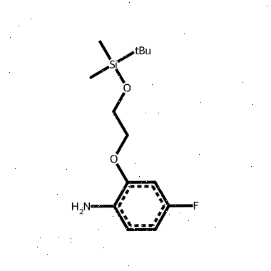 CC(C)(C)[Si](C)(C)OCCOc1cc(F)ccc1N